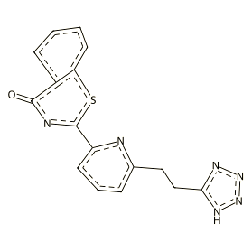 O=c1nc(-c2cccc(CCc3nnn[nH]3)n2)sc2ccccc12